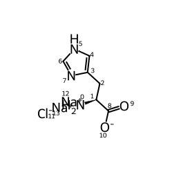 N[C@@H](Cc1c[nH]cn1)C(=O)[O-].[Cl-].[Na+].[Na+]